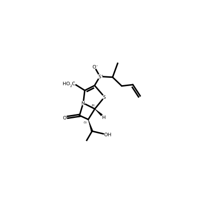 C=CCC(C)[S+]([O-])C1=C(C(=O)O)N2C(=O)[C@H](C(C)O)[C@H]2S1